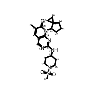 Cc1cc2cnc(NC3CCN(S(C)(=O)=O)CC3)nc2n(C2CCCC23CC3)c1=O